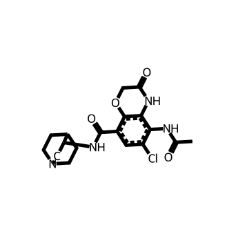 CC(=O)Nc1c(Cl)cc(C(=O)NC2CN3CCC2CC3)c2c1NC(=O)CO2